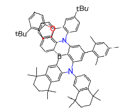 Cc1cc(C)c(-c2cc3c4c(c2)N(c2ccc(C(C)(C)C)cc2-c2ccccc2)c2c(ccc5c2oc2cccc(C(C)(C)C)c25)B4c2cc4c(cc2N3c2ccc3c(c2)C(C)(C)CCC3(C)C)C(C)(C)CCC4(C)C)c(C)c1